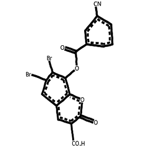 N#Cc1cccc(C(=O)Oc2c(Br)c(Br)cc3cc(C(=O)O)c(=O)oc23)c1